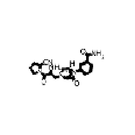 N#CC1CCCN1C(=O)C(N)CN1C[C@@H]2CC1C(=O)N2c1cccc(C(N)=O)c1